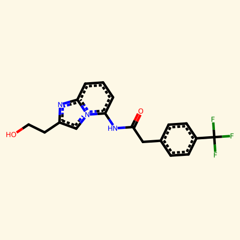 O=C(Cc1ccc(C(F)(F)F)cc1)Nc1cccc2nc(CCO)cn12